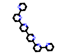 c1ccc(-c2cccc(-c3ccc(-c4ccc(-c5cccc(-c6ccccn6)n5)nc4)cn3)n2)nc1